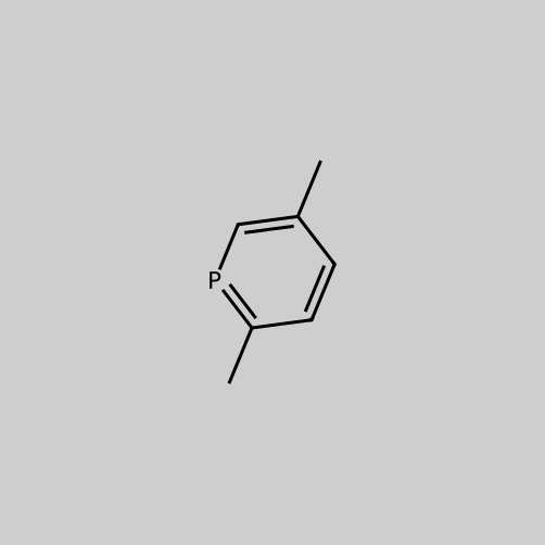 Cc1ccc(C)pc1